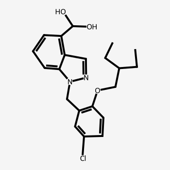 CCC(CC)COc1ccc(Cl)cc1Cn1ncc2c(C(O)O)cccc21